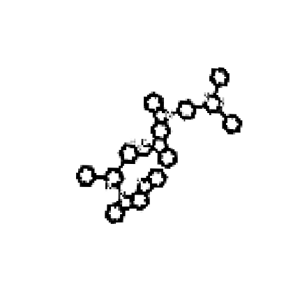 CC1(Cc2cccc(-c3cc(-c4ccccc4)nc(-n4c5ccccc5c5ccc6c7ccccc7sc6c54)c3)c2)c2ccccc2-c2cc3c(cc21)c1ccccc1n3-c1ccc(-c2cc(-c3ccccc3)nc(-c3ccccc3)n2)cc1